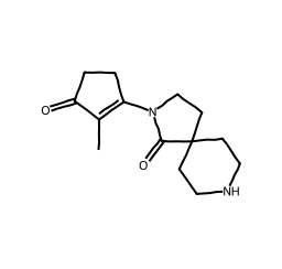 CC1=C(N2CCC3(CCNCC3)C2=O)CCC1=O